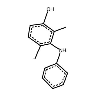 [CH2]c1ccc(O)c(C)c1Nc1ccccc1